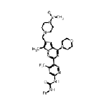 CCNC(=O)Nc1cc(C(F)(F)F)c(-c2nc(N3CCOCC3)c3cc(CN4CCN([S+](C)[O-])CC4)c(C)n3n2)cn1